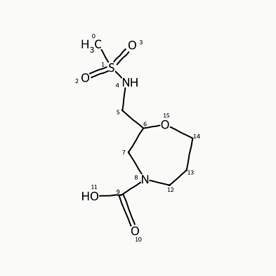 CS(=O)(=O)NCC1CN(C(=O)O)CCCO1